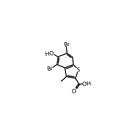 Cc1c(C(=O)O)sc2cc(Br)c(O)c(Br)c12